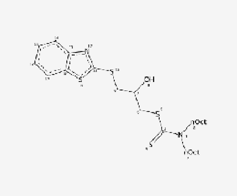 CCCCCCCCN(CCCCCCCC)C(=S)SCC(O)CSc1nc2ccccc2s1